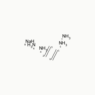 C=C.C=C.N.N.N.N.[NaH]